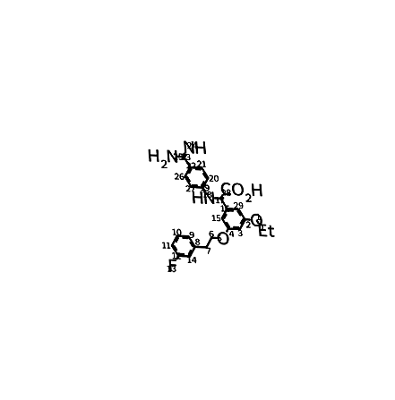 CCOc1cc(OCCc2cccc(F)c2)cc(C(Nc2ccc(C(=N)N)cc2)C(=O)O)c1